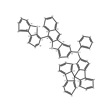 c1ccc(N(c2ccc3c(c2)C2(c4ccccc4-c4ccccc42)c2ccccc2-3)c2ccc3oc4c(-c5cccc6c5sc5ccccc56)c5ccccc5cc4c3c2)cc1